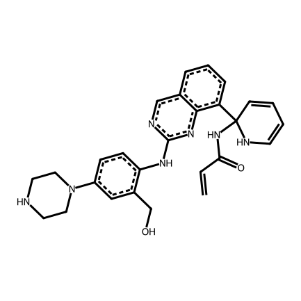 C=CC(=O)NC1(c2cccc3cnc(Nc4ccc(N5CCNCC5)cc4CO)nc23)C=CC=CN1